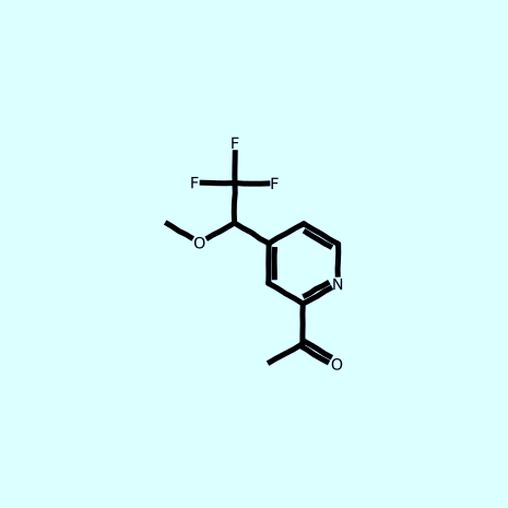 COC(c1ccnc(C(C)=O)c1)C(F)(F)F